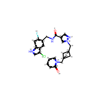 O=C(NCc1cc2c(Cl)c[nH]c2cc1F)c1cnn(CC23CC(Cn4ccccc4=O)(C2)C3)c1